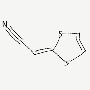 N#CC=C1SC=CS1